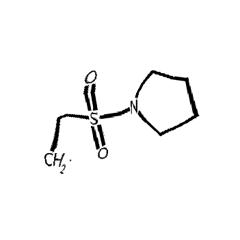 [CH2]CS(=O)(=O)N1CCCC1